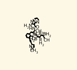 B/C(C#C)=C(B)/C(B)=C(/B)Cn1c([C@@H](C)NC(=O)c2c(N)nn3cccnc23)cc2cccc(C#Cc3ccn(C)n3)c2c1=O